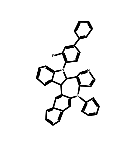 Fc1cc(-c2ccccc2)ccc1N1c2ccccc2C2c3cc4ccccc4cc3N(c3ccccc3)c3ccncc3C21